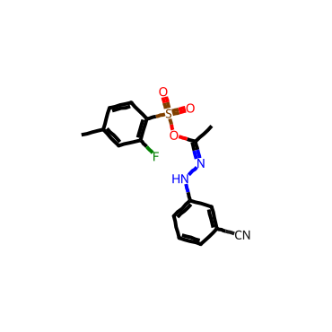 CC(=NNc1cccc(C#N)c1)OS(=O)(=O)c1ccc(C)cc1F